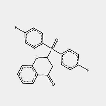 O=C1CC(P(=O)(c2ccc(F)cc2)c2ccc(F)cc2)Oc2ccccc21